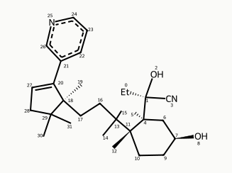 CC[C@](O)(C#N)[C@@]1(C)C[C@@H](O)CC[C@]1(C)C(C)(C)CC[C@]1(C)C(c2cccnc2)=CCC1(C)C